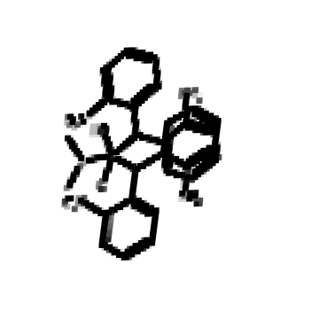 CN(C)P(O)(O)(C(c1ccccc1[N+](=O)[O-])c1ccccc1[N+](=O)[O-])C(c1ccccc1[N+](=O)[O-])c1ccccc1[N+](=O)[O-]